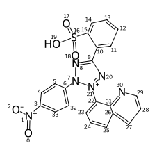 O=[N+]([O-])c1ccc(-n2nc(-c3ccccc3S(=O)(=O)O)n[n+]2-c2cccc3cccnc23)cc1